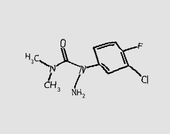 CN(C)C(=O)N(N)c1ccc(F)c(Cl)c1